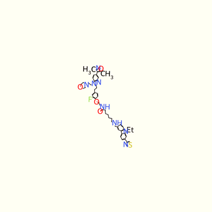 CCn1c2ccc(CNCCCCCCC(=O)NCCOc3ccc(CCc4nc5cc(-c6c(C)noc6C)ccc5n4CCN4CCOCC4)cc3F)cc2c2ccc(-c3cscn3)cc21